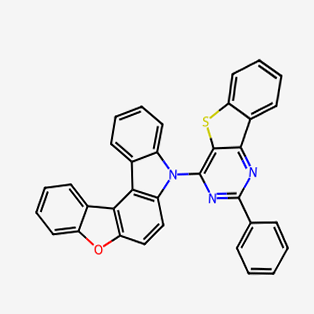 c1ccc(-c2nc(-n3c4ccccc4c4c5c(ccc43)oc3ccccc35)c3sc4ccccc4c3n2)cc1